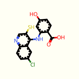 O=C(O)c1ccc(O)cc1Nc1c(S)cnc2ccc(Cl)cc12